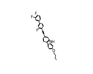 CCCCOc1ccc2c(c1)[nH]c1cc(C#Cc3ccc(-c4ccc(F)c(F)c4)cc3F)ccc12